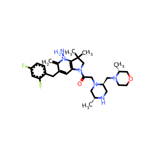 C=C1C(Cc2ccc(F)cc2F)=CC2=C(N1N)C(C)(C)CN2C(=O)CN1C[C@@H](C)NC[C@@H]1CN1CCOC[C@H]1C